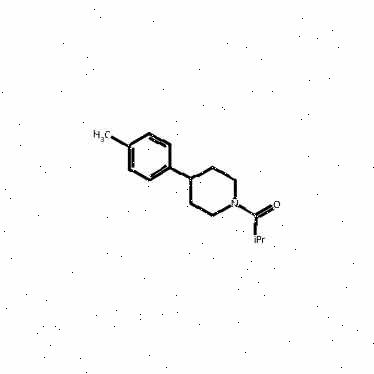 Cc1ccc(C2CCN(C(=O)C(C)C)CC2)cc1